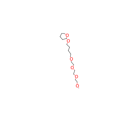 COCCOCCOCCOCCCCCOC1CCCCO1